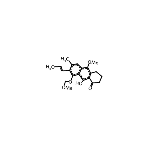 CC=Cc1c(C)cc2c(OC)c3c(c(O)c2c1OCOC)C(=O)CCC3